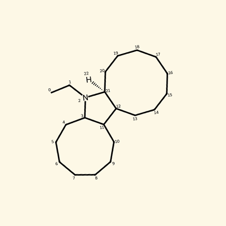 CCN1C2CCCCCCCC2C2CCCCCCCC[C@@H]21